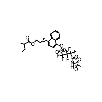 CCC(C)C(=O)OCCSc1ccc(OS(=O)(=O)C(F)(F)C(F)(F)C(F)(F)S(=O)(=O)NS(C)(=O)=O)c2ccccc12